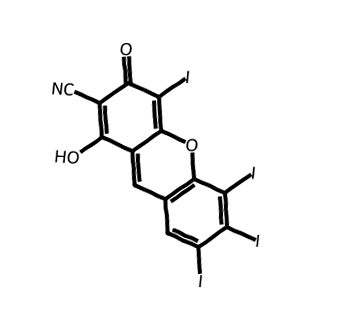 N#Cc1c(O)c2cc3cc(I)c(I)c(I)c3oc-2c(I)c1=O